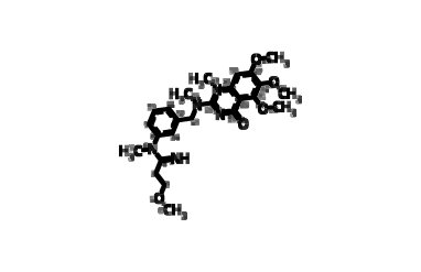 COCCC(=N)N(C)c1cccc(CN(C)c2nc(=O)c3c(OC)c(OC)c(OC)cc3n2C)c1